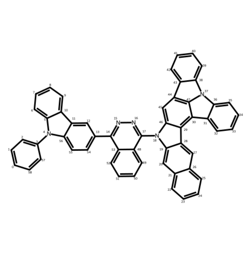 c1ccc(-n2c3ccccc3c3cc(-c4nnc(-n5c6cc7ccccc7cc6c6c7c8ccccc8n8c9ccccc9c(cc65)c78)c5ccccc45)ccc32)cc1